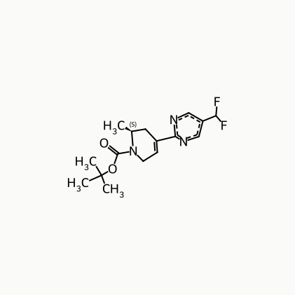 C[C@H]1CC(c2ncc(C(F)F)cn2)=CCN1C(=O)OC(C)(C)C